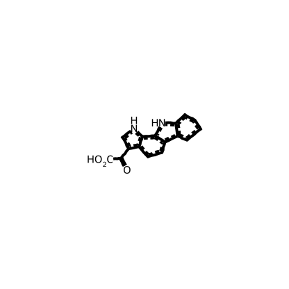 O=C(O)C(=O)c1c[nH]c2c1ccc1c3ccccc3[nH]c12